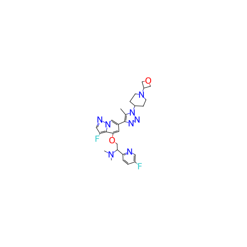 Cc1c(-c2cc(OCC(c3ccc(F)cn3)N(C)C)c3c(F)cnn3c2)nnn1C1CCN(C2COC2)CC1